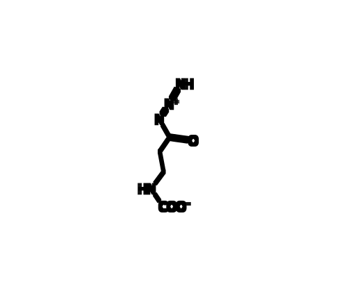 N=[N+]=NC(=O)CCNC(=O)[O-]